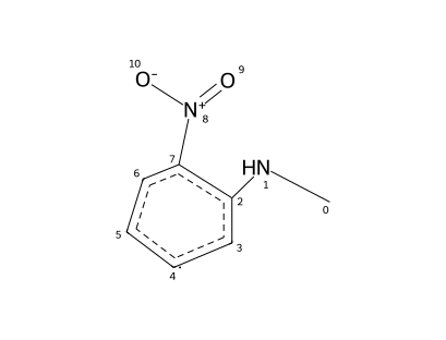 CNc1c[c]ccc1[N+](=O)[O-]